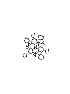 S=P1(c2ccccc2)c2cc(Cl)cc3c2N2c4c1cc(Cl)cc4P(=S)(c1ccccc1)c1cc(Cl)cc(c12)P3(=S)c1ccccc1